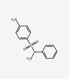 Nc1ccc(S(=O)(=O)N(N)c2ccccc2)cc1